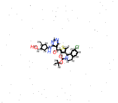 Cc1sc(C(=O)c2cncnc2N[C@@H]2C[C@H](CO)[C@@H](C)C2)cc1[C@H]1c2cc(Cl)ccc2CCN1C(=O)OC(C)(C)C